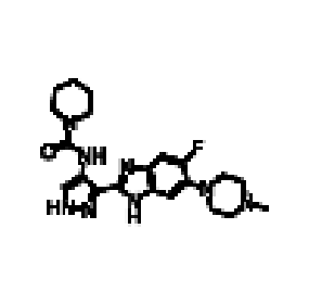 CN1CCN(c2cc3[nH]c(-c4n[nH]cc4NC(=O)N4CCCCC4)nc3cc2F)CC1